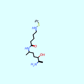 C=C(N)C(O)CCC(C)NC(=O)CCCCNSC(C)C